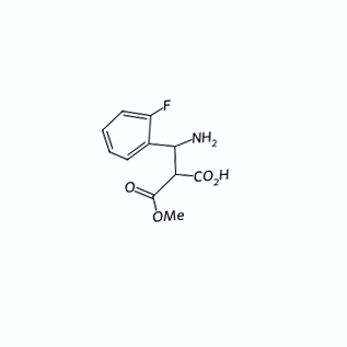 COC(=O)C(C(=O)O)C(N)c1ccccc1F